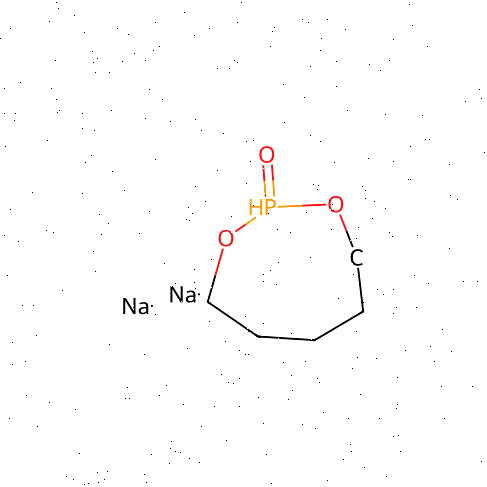 O=[PH]1OCCCCCO1.[Na].[Na]